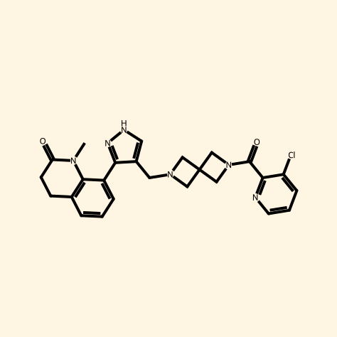 CN1C(=O)CCc2cccc(-c3n[nH]cc3CN3CC4(C3)CN(C(=O)c3ncccc3Cl)C4)c21